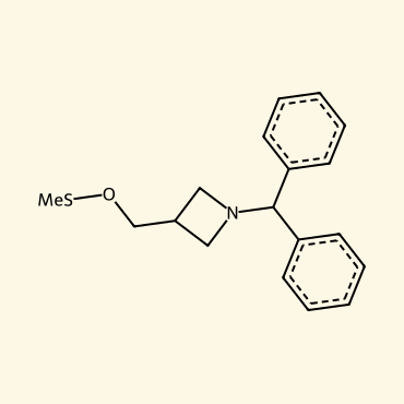 CSOCC1CN(C(c2ccccc2)c2ccccc2)C1